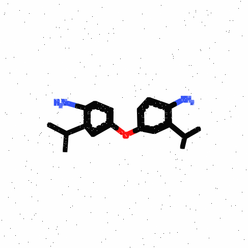 CC(C)c1cc(Oc2ccc(N)c(C(C)C)c2)ccc1N